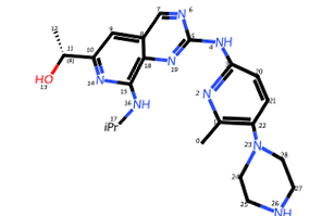 Cc1nc(Nc2ncc3cc([C@@H](C)O)nc(NC(C)C)c3n2)ccc1N1CCNCC1